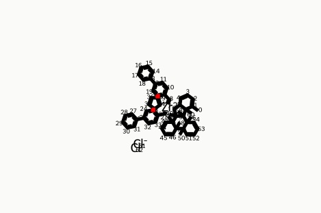 CC1=CC=CC2[CH]([Zr+2](=[CH]c3ccc(-c4ccccc4)cc3)(=[CH]c3ccc(-c4ccccc4)cc3)[C]3=CC=CC3)C3(C)C4(C)C=CC=CC4(C)C4(C)C=CC=CC4(C)C3(C)C12C.[Cl-].[Cl-]